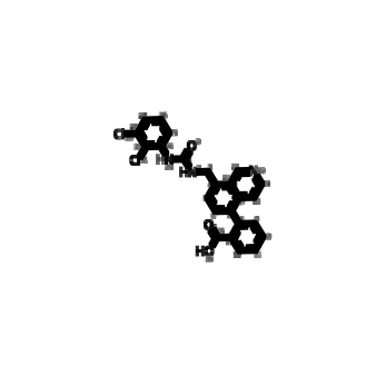 O=C(NCc1ccc(-c2ccccc2C(=O)O)c2ccncc12)Nc1cccc(Cl)c1Cl